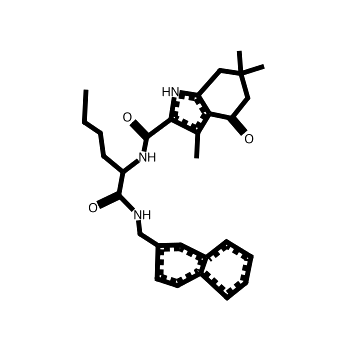 CCCCC(NC(=O)c1[nH]c2c(c1C)C(=O)CC(C)(C)C2)C(=O)NCc1ccc2ccccc2c1